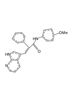 COc1ccc(NC(=O)C(=Cc2c[nH]c3ncccc23)c2ccccc2)cc1